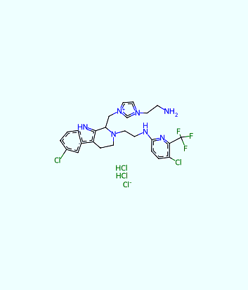 Cl.Cl.NCCn1cc[n+](CC2c3[nH]c4ccc(Cl)cc4c3CCN2CCNc2ccc(Cl)c(C(F)(F)F)n2)c1.[Cl-]